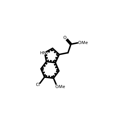 COC(=O)Cc1c[nH]c2cc(Cl)c(OC)cc12